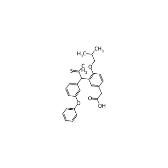 CC(=S)C(c1cccc(Oc2ccccc2)c1)c1cc(CC(=O)O)ccc1OCC(C)C